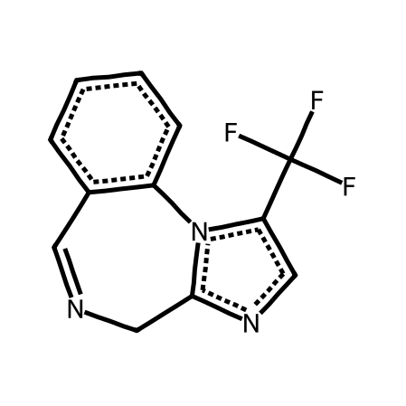 FC(F)(F)c1cnc2n1-c1ccccc1C=NC2